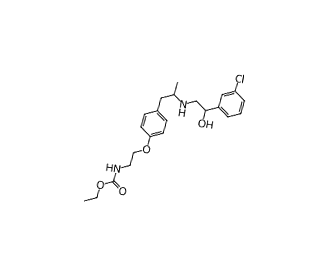 CCOC(=O)NCCOc1ccc(CC(C)NCC(O)c2cccc(Cl)c2)cc1